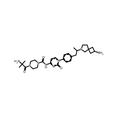 CC(Cc1ccc(-n2ccc(NC(=O)N3CCN(C(=O)C(C)(C)N)CC3)nc2=O)cc1)N1CCC2(CC(N)C2)C1